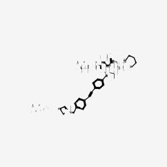 CNC(=O)[C@@](C)(C(=O)NOC1CCCCO1)N(C)C(=O)c1ccc(C#Cc2ccc(CN3CC(OC)C3)cc2)cc1